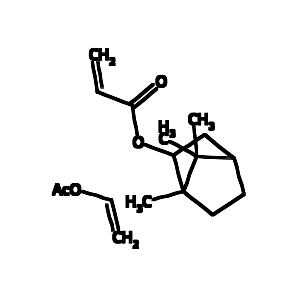 C=CC(=O)OC1CC2CCC1(C)C2(C)C.C=COC(C)=O